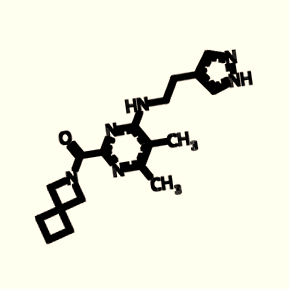 Cc1nc(C(=O)N2CC3(CCC3)C2)nc(NCCc2cn[nH]c2)c1C